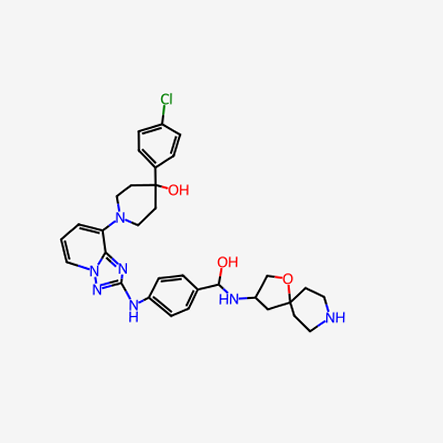 OC(NC1COC2(CCNCC2)C1)c1ccc(Nc2nc3c(N4CCC(O)(c5ccc(Cl)cc5)CC4)cccn3n2)cc1